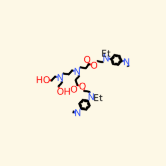 C=Nc1ccc(N(CC)CCOC(=O)CCN(CCCN(CCO)CCO)CCC(=O)OCCN(CC)c2ccc(N=C)cc2)cc1